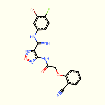 N#Cc1ccccc1OCC(=O)Nc1nonc1C(=N)Nc1ccc(F)c(Br)c1